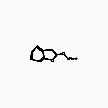 CCCCCOC1Cc2ccccc2O1